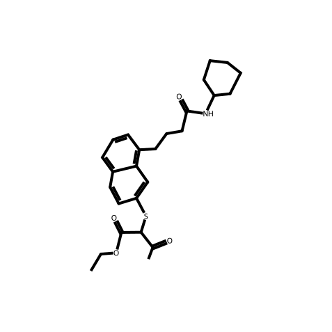 CCOC(=O)C(Sc1ccc2cccc(CCCC(=O)NC3CCCCC3)c2c1)C(C)=O